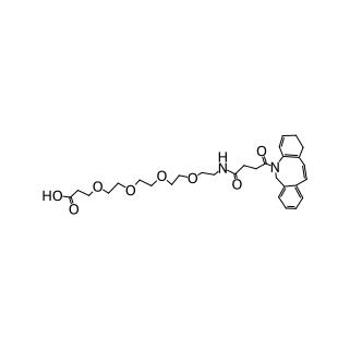 O=C(O)CCOCCOCCOCCOCCNC(=O)CCC(=O)N1Cc2ccccc2/C=C\C2=C1C=CCC2